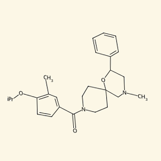 Cc1cc(C(=O)N2CCC3(CC2)CN(C)CC(c2ccccc2)O3)ccc1OC(C)C